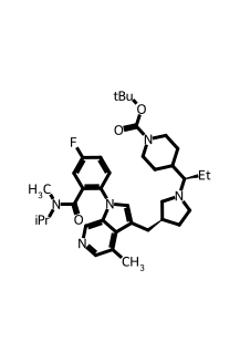 CC[C@H](C1CCN(C(=O)OC(C)(C)C)CC1)N1CC[C@@H](Cc2cn(-c3ccc(F)cc3C(=O)N(C)C(C)C)c3cncc(C)c23)C1